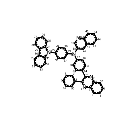 c1ccc(-c2nc3ccccc3nc2-c2ccc(N(c3ccc(-n4c5ccccc5c5ccccc54)cc3)c3cnc4ccccc4c3)cc2)cc1